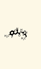 CCc1nnc(NC(=O)C(C#N)=Cc2c(Cl)ccc(C)c2F)s1